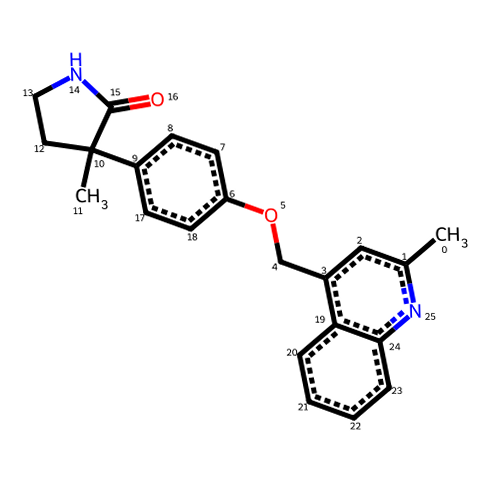 Cc1cc(COc2ccc(C3(C)CCNC3=O)cc2)c2ccccc2n1